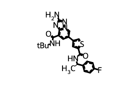 C[C@H](NC(=O)c1cc(-c2cc(C(=O)NC(C)(C)C)c3nc(N)nn3c2)cs1)c1ccc(F)cc1